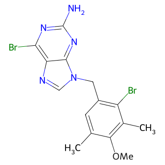 COc1c(C)cc(Cn2cnc3c(Br)nc(N)nc32)c(Br)c1C